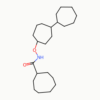 O=C(NOC1CCCC(C2CCCCCC2)CC1)C1CCCCCCC1